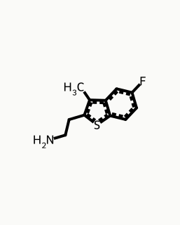 Cc1c(CCN)sc2ccc(F)cc12